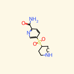 NC(=O)c1ccc(S(=O)(=O)C2CCNCC2)cn1